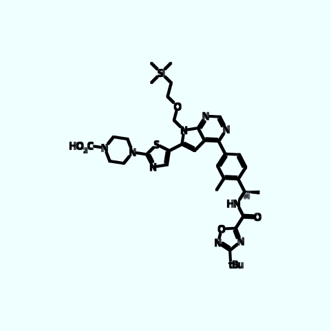 Cc1cc(-c2ncnc3c2cc(-c2cnc(N4CCN(C(=O)O)CC4)s2)n3COCC[Si](C)(C)C)ccc1[C@@H](C)NC(=O)c1nc(C(C)(C)C)no1